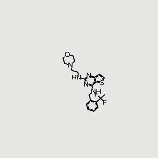 CC(F)(F)c1ccccc1CNc1nc(NCCN2CCOCC2)nc2ccsc12